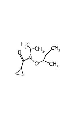 CCC(C)ON(C(=O)C1CC1)C(C)C